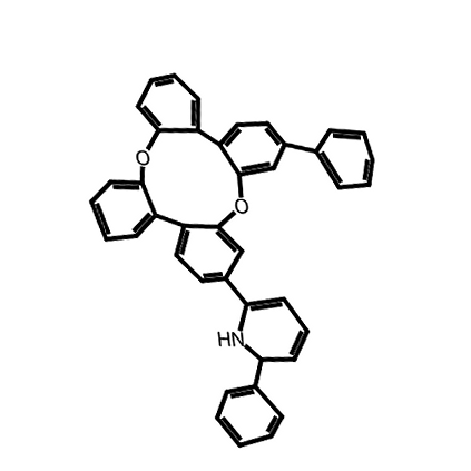 C1=CC(c2ccccc2)NC(c2ccc3c(c2)Oc2cc(-c4ccccc4)ccc2-c2ccccc2Oc2ccccc2-3)=C1